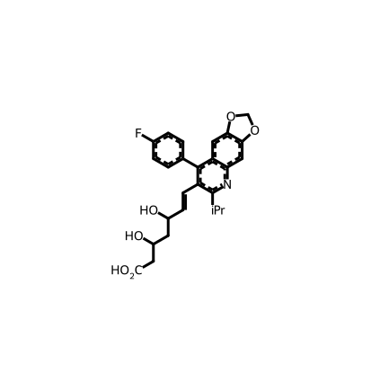 CC(C)c1nc2cc3c(cc2c(-c2ccc(F)cc2)c1/C=C/C(O)CC(O)CC(=O)O)OCO3